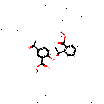 COC(=O)c1cc(C(C)=O)ccc1O.COC(=O)c1ccccc1C(C)=O